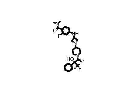 CN(C)C(=O)c1ccc(NC2CN(C3CCN(C(=O)[C@@](O)(c4ccccc4)C(F)(F)F)CC3)C2)cc1F